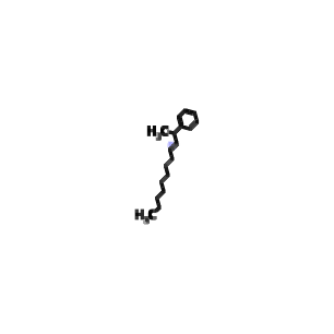 CCCCCCCC/C=C/C(C)c1ccccc1